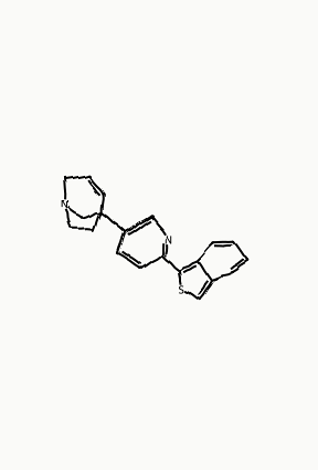 C1=CC2(c3ccc(-c4scc5ccccc45)nc3)CCN(C1)C2